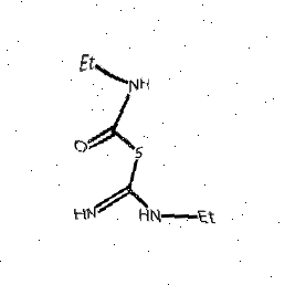 CCNC(=N)SC(=O)NCC